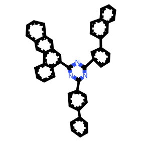 c1ccc(-c2ccc(-c3nc(-c4cccc(-c5ccc6ccccc6c5)c4)nc(-c4cc5cc6ccccc6cc5c5ccccc45)n3)cc2)cc1